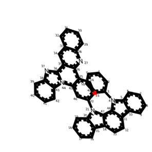 c1ccc(-n2c3ccccc3c3ccc4c5ccccc5n(-c5ccc6c7nc8ccccc8cc7c7nc8ccccc8n7c6c5)c4c32)cc1